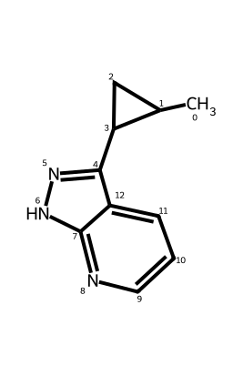 CC1CC1c1n[nH]c2ncccc12